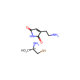 NCCC1=CC(=O)NC1=O.N[C@@H](CS)C(=O)O